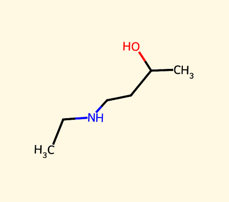 CCNCCC(C)O